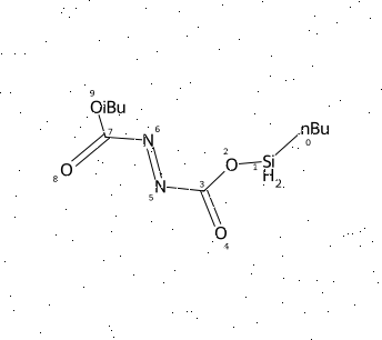 CCCC[SiH2]OC(=O)/N=N/C(=O)OCC(C)C